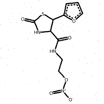 O=C1NC(C(=O)NCCO[N+](=O)[O-])C(c2ccco2)S1